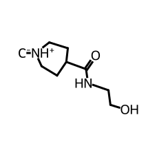 [CH2-][NH+]1CCC(C(=O)NCCO)CC1